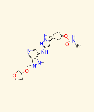 CC(C)NC(=O)O[C@@H]1CC[C@H](c2cc(Nc3cncc4c(COC5CCOC5)nn(C)c34)n[nH]2)C1